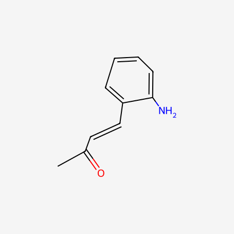 CC(=O)/C=C/c1ccccc1N